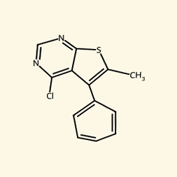 Cc1sc2ncnc(Cl)c2c1-c1ccccc1